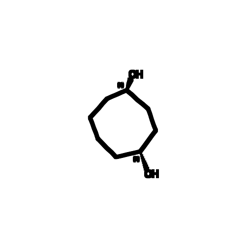 O[C@@H]1CCCC[C@@H](O)CC1